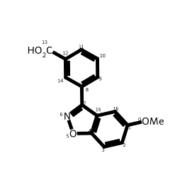 COc1ccc2onc(-c3cccc(C(=O)O)c3)c2c1